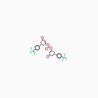 O=C1C=C(OC(=O)OC2=CC(=O)CC(c3ccc(C(F)(F)F)cc3)C2)CC(c2ccc(C(F)(F)F)cc2)C1